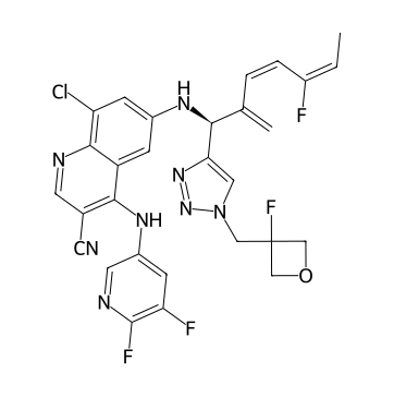 C=C(/C=C\C(F)=C/C)[C@H](Nc1cc(Cl)c2ncc(C#N)c(Nc3cnc(F)c(F)c3)c2c1)c1cn(CC2(F)COC2)nn1